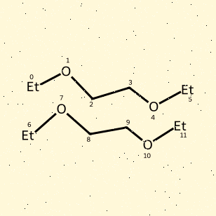 CCOCCOCC.CCOCCOCC